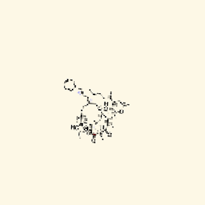 CCCCN(C)[C@H]1C[C@@H](C)O[C@@H](O[C@@H]2[C@@H](C)C(=O)[C@@H](C)C(=O)O[C@H](CC)[C@@](C)(O)[C@@H]3CC/C(=C\C=C\c4ccccc4)CO[C@]2(C)C[C@@H](C)/C(=N\C(C)=O)[C@@H]3C)[C@@H]1O